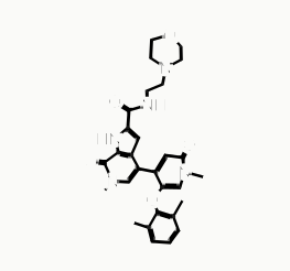 Cc1cccc(C)c1Oc1cn(C)c(=O)cc1-c1cn(C)c(=O)c2[nH]c(C(=O)NCCN3CCOCC3)cc12